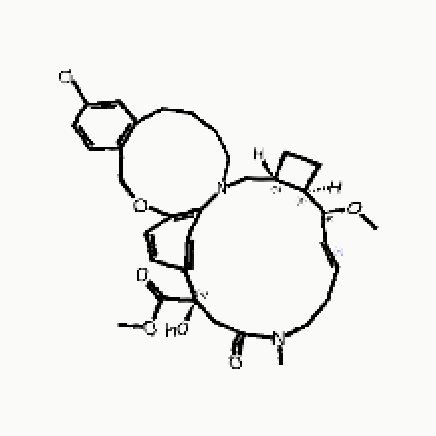 COC(=O)[C@@]1(O)CC(=O)N(C)CC/C=C/[C@H](OC)[C@@H]2CC[C@H]2CN2CCCCc3cc(Cl)ccc3COc3ccc1cc32